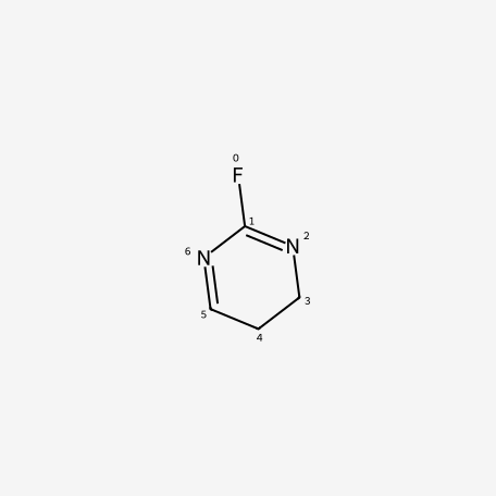 FC1=NCCC=N1